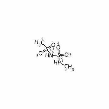 CPS(=O)(=O)NS(C)(=O)=O